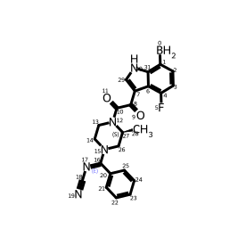 Bc1ccc(F)c2c(C(=O)C(=O)N3CCN(/C(=N/C#N)c4ccccc4)C[C@@H]3C)c[nH]c12